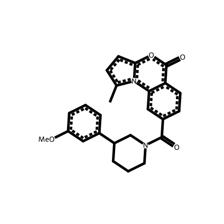 COc1cccc(C2CCCN(C(=O)c3ccc4c(=O)oc5ccc(C)n5c4c3)C2)c1